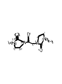 O=C1NCCN1CC(=O)N1CCNC1=O